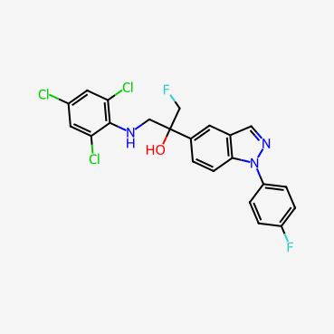 OC(CF)(CNc1c(Cl)cc(Cl)cc1Cl)c1ccc2c(cnn2-c2ccc(F)cc2)c1